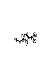 Cn1c([N+](=O)[O-])cnc1CI